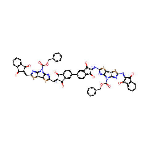 O=C1C(=Cc2nc3c(s2)c2sc(/C=C4\C(=O)c5ccc(-c6ccc7c(=O)/c(=N\c8nc9c(s8)c8sc(N=c%10c(=O)c%11ccccc%11c%10=O)nc8n9C(=O)OCc8ccccc8)c(=O)c7c6)cc5C4=O)nc2n3C(=O)OCc2ccccc2)C(=O)c2ccccc21